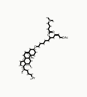 CC(=O)OC/C=C\CC(CCCCCO[C@H]1CC[C@@]2(C)C(=CCC3C4CC[C@H]([C@H](C)CCCC(C)C)C4[C@H](C)CC32)C1)OC(=O)CCCN(C)C